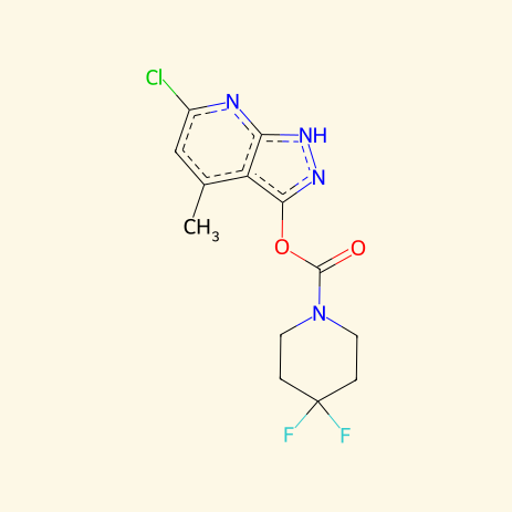 Cc1cc(Cl)nc2[nH]nc(OC(=O)N3CCC(F)(F)CC3)c12